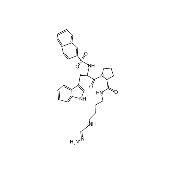 NN=CNCCCCNC(=O)[C@@H]1CCCN1C(=O)[C@@H](Cc1c[nH]c2ccccc12)NS(=O)(=O)c1ccc2ccccc2c1